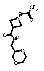 O=C(NCC1COCCO1)C1CN(OC(=O)C(F)(F)F)C1